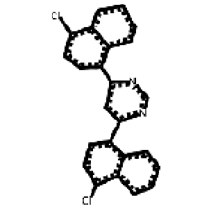 Clc1ccc(-c2cc(-c3ccc(Cl)c4ccccc34)ncn2)c2ccccc12